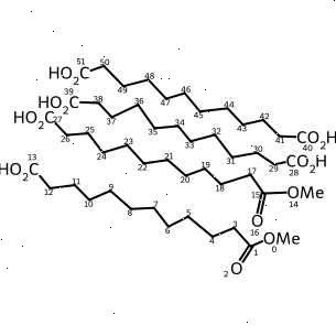 COC(=O)CCCCCCCCCCC(=O)O.COC(=O)CCCCCCCCCCC(=O)O.O=C(O)CCCCCCCCCCC(=O)O.O=C(O)CCCCCCCCCCC(=O)O